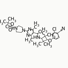 Cc1nc(N2CCN(C(=O)OC(C)(C)C)CC2)nc(C)c1C(=O)NC1C(C)(C)C(Oc2ccc(C#N)c(Cl)c2)C1(C)C